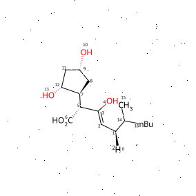 [2H][C@@H](C=C(O)[C@H](C(=O)O)[C@@H]1C[C@@H](O)C[C@H]1O)C(C)CCCC